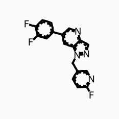 Fc1ccc(Cn2ncc3ncc(-c4ccc(F)c(F)c4)cc32)cn1